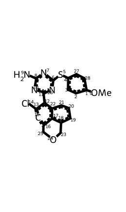 COc1ccc(Sc2nc(N)nc(-c3c(Cl)cc4c5c(cccc35)COC4)n2)cc1